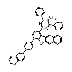 C=N/C(=N\C(=N/Cc1ccccc1)c1ccc(-c2ccc(-c3ccc4c(c3)C=CCC4)cc2)c2oc3cc4ccccc4cc3c12)c1ccccc1